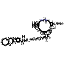 COc1cc2cc(c1Cl)N(C)C(=O)C[C@H](OC(=O)[C@@H](C)N(C)C(=O)CCOCCOCCOCCNC(=O)c1ccc3nc4c(nc3c1)CSC1CCCCCCCC(C1)SC4)[C@]1(C)OC1[C@H](C)C1C[C@](O)(C/C=C/C=C(\C)C2)NC(=O)O1